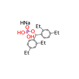 CCc1ccc(C(OP(=O)(O)O)c2ccc(CC)cc2CC)c(CC)c1.[NaH]